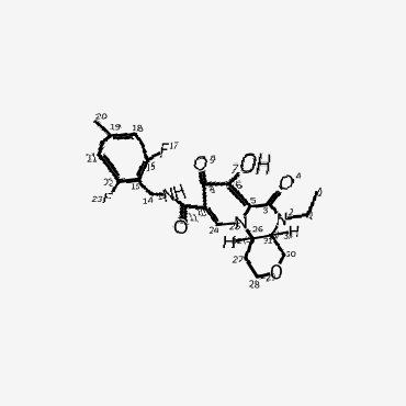 CCN1C(=O)c2c(O)c(=O)c(C(=O)NCc3c(F)cc(C)cc3F)cn2[C@H]2CCOC[C@H]21